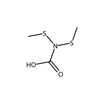 CSN(SC)C(=O)O